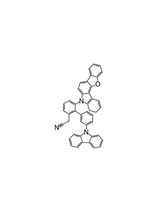 N#CCc1cccc(-n2c3c(c4c5oc6ccccc6c5ccc42)C=CCC3)c1-c1cccc(-n2c3ccccc3c3ccccc32)c1